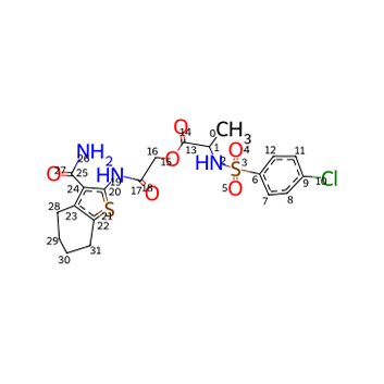 CC(NS(=O)(=O)c1ccc(Cl)cc1)C(=O)OCC(=O)Nc1sc2c(c1C(N)=O)CCCC2